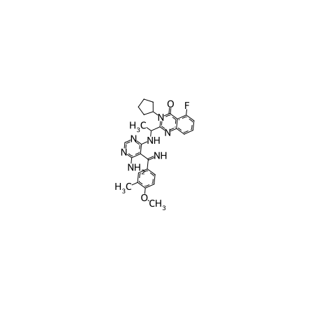 COc1ccc(C(=N)c2c(N)ncnc2NC(C)c2nc3cccc(F)c3c(=O)n2C2CCCC2)cc1C